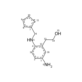 Nc1ccc(NCc2cccs2)c(CCO)c1